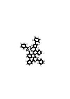 c1ccc(-c2cc(-c3ccc(-c4cc5oc6ccccc6c5cc4-c4nc(-c5ccccc5)nc(-c5ccccc5)n4)c4ccccc34)nc(-c3ccccc3)n2)cc1